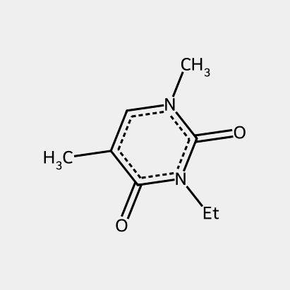 CCn1c(=O)c(C)cn(C)c1=O